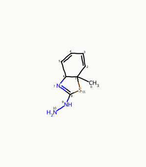 CC12C=CC=CC1N=C(NN)S2